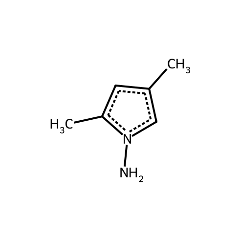 Cc1cc(C)n(N)c1